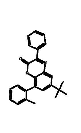 Cc1ccccc1-c1cc(C(C)(C)C)cc2nc(-c3ccccc3)c(=O)oc12